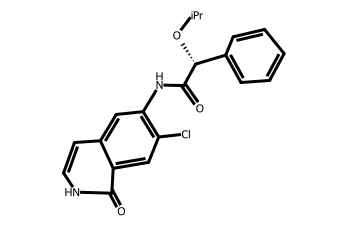 CC(C)O[C@@H](C(=O)Nc1cc2cc[nH]c(=O)c2cc1Cl)c1ccccc1